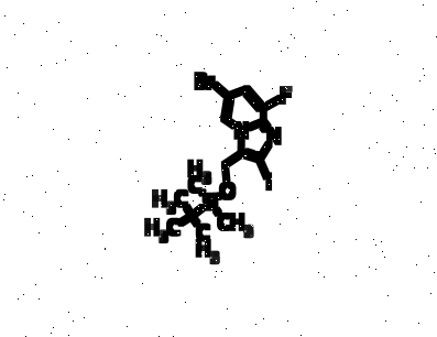 CC(C)(C)[Si](C)(C)OCc1c(I)nc2c(F)cc(Br)cn12